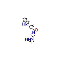 O=C(c1ccc(-c2cc3ccccc3[nH]2)cc1)N1CCC(c2ncc[nH]2)CC1